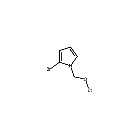 CCOCn1cccc1Br